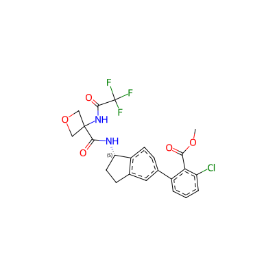 COC(=O)c1c(Cl)cccc1-c1ccc2c(c1)CC[C@@H]2NC(=O)C1(NC(=O)C(F)(F)F)COC1